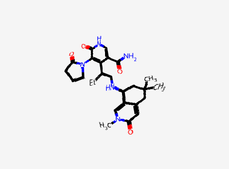 CCC(CNC1CC(C)(C)Cc2cc(=O)n(C)cc21)c1c(C(N)=O)c[nH]c(=O)c1N1CCCC1=O